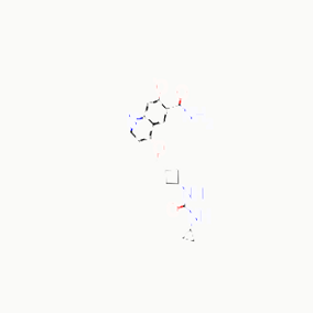 COc1cc2nccc(OCC3CC(NC(=O)NC4CC4)C3)c2cc1C(N)=O